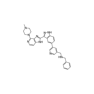 CN1CCN(c2nccc3[nH]c(-c4n[nH]c5ccc(-c6cncc(CNCc7ccccc7)c6)cc45)nc23)CC1